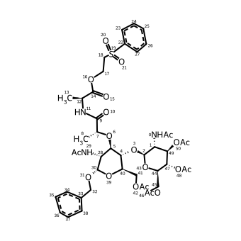 CC(=O)N[C@H]1[C@H](O[C@H]2[C@H](O[C@H](C)C(=O)N[C@@H](C)C(=O)OCCS(=O)(=O)c3ccccc3)[C@@H](NC(C)=O)[C@@H](OCc3ccccc3)O[C@@H]2COC(C)=O)O[C@H](COC(C)=O)[C@@H](OC(C)=O)[C@@H]1OC(C)=O